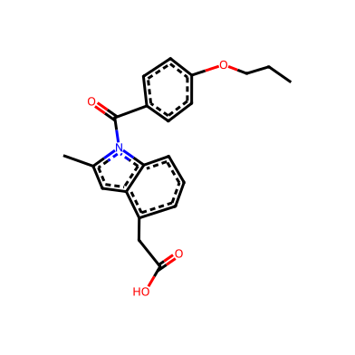 CCCOc1ccc(C(=O)n2c(C)cc3c(CC(=O)O)cccc32)cc1